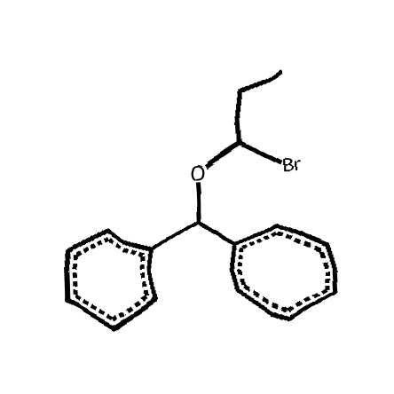 CCC(Br)OC(c1ccccc1)c1ccccc1